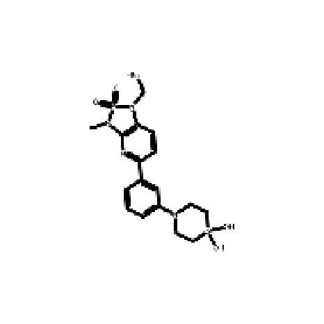 CN1c2nc(-c3cccc(N4CCS(O)(O)CC4)c3)ccc2N(CC(C)(C)C)S1(=O)=O